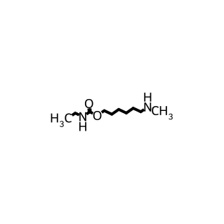 CCNC(=O)OCCCCCCNC